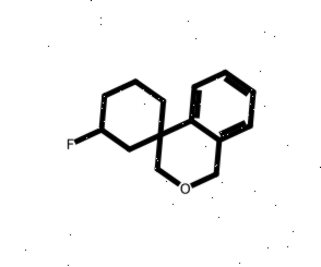 FC1CCCC2(COCc3ccccc32)C1